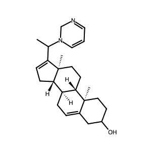 CC(C1=CC[C@H]2[C@@H]3CC=C4CC(O)CC[C@]4(C)[C@H]3CC[C@]12C)N1C=CC=NC1